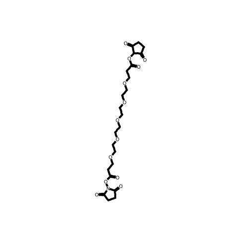 O=C(CCOCCOCCOCCOCCOCCC(=O)ON1C(=O)CCC1=O)OC1C(=O)CCC1=O